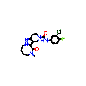 CN1CCCCn2nc3c(c2C1=O)CN(C(=O)Nc1ccc(F)c(Cl)c1)CC3